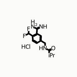 CC(C)C(=O)NCc1ccc(C(F)F)c(C(=N)N)c1.Cl